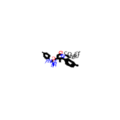 CCOC(=O)C(CC(C)(C)C)n1c(-c2ccc(C)cc2)c(C)c(-c2nnc(N[C@H]3CC[C@H](C)CC3)o2)cc1=O